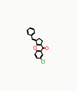 O=c1c2c(oc3ccc(Cl)cc13)/C(=C/c1ccccc1)CC2